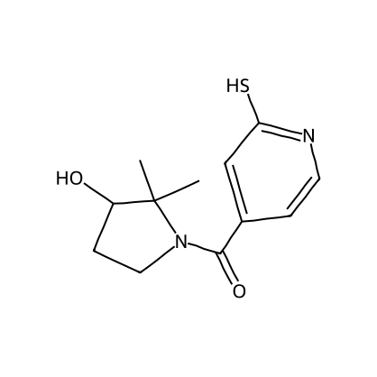 CC1(C)C(O)CCN1C(=O)c1ccnc(S)c1